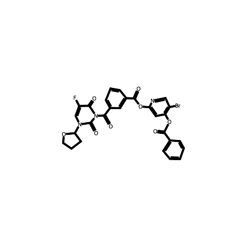 O=C(Oc1cc(OC(=O)c2ccccc2)c(Br)cn1)c1cccc(C(=O)n2c(=O)c(F)cn(C3CCCO3)c2=O)c1